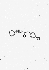 O=C(CCNc1ccccc1)Cc1ccc(Cl)cc1